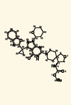 CC(C)(C)OC(=O)N[C@@H]1COCC12CCN(c1nc3c(c(C4(c5nc6ccccc6o5)CC4)nn3C3CCCCO3)c(=O)[nH]1)CC2